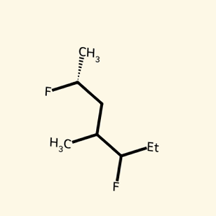 CCC(F)C(C)C[C@@H](C)F